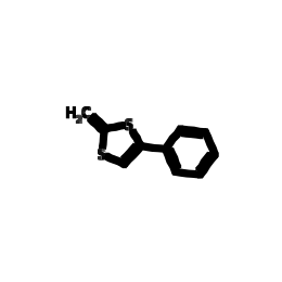 C=C1SC=C(c2ccccc2)S1